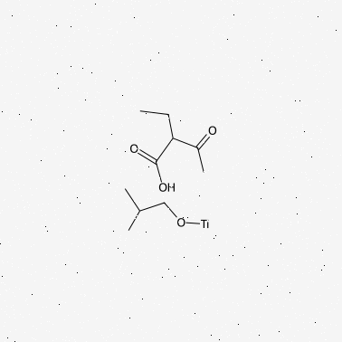 CC(C)C[O][Ti].CCC(C(C)=O)C(=O)O